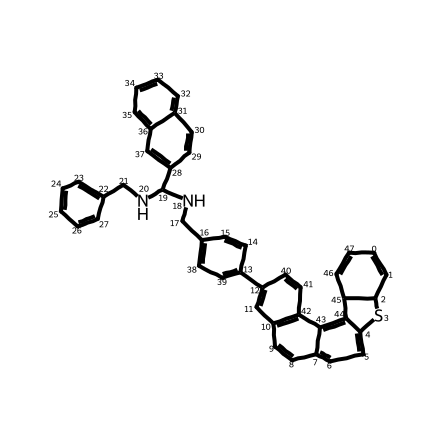 C1=CC2Sc3ccc4ccc5cc(-c6ccc(CNC(NCc7ccccc7)c7ccc8ccccc8c7)cc6)ccc5c4c3C2C=C1